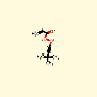 C=CC(=O)OOC#CC(C)(C)C